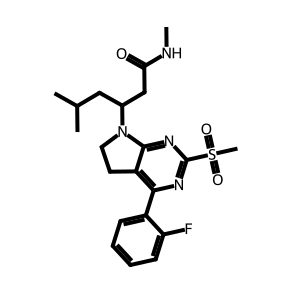 CNC(=O)CC(CC(C)C)N1CCc2c(-c3ccccc3F)nc(S(C)(=O)=O)nc21